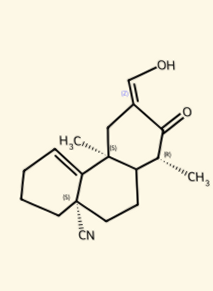 C[C@H]1C(=O)/C(=C\O)C[C@]2(C)C3=CCCC[C@]3(C#N)CCC12